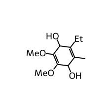 CCC1=C(C)C(O)C(OC)=C(OC)C1O